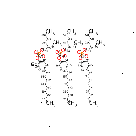 CCCCCCCCCc1ccc(OP(=O)([O-])OCC(CC)CCCC)cc1.CCCCCCCCCc1ccc(OP(=O)([O-])OCC(CC)CCCC)cc1.CCCCCCCCCc1ccc(OP(=O)([O-])OCC(CC)CCCC)cc1.[Co+3]